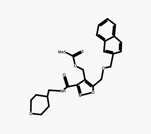 CSC(=S)OCc1c(C(=O)NCC2CCOCC2)noc1COCc1ccc2ccccc2c1